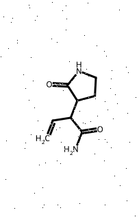 C=CC(C(N)=O)C1CCNC1=O